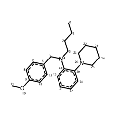 CCCCN(Cc1ccc(OC)cc1)c1ccccc1N1CCCCC1